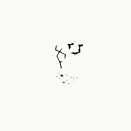 O=P(O)(O)OP(=O)(O)OP(=O)(O)OC[C@@]1(F)O[C@@H](n2ccc(=S)[nH]c2=S)C(F)(CF)[C@H]1O